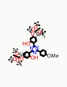 COc1ccc(-c2nc(-c3ccc(OC([SiH3])(O[Si](C)(C)C)C(C)(O[Si](C)(C)C)O[Si](C)(C)C)cc3O)nc(-c3ccc(OC([SiH3])(O[Si](C)(C)C)C(C)(O[Si](C)(C)C)O[Si](C)(C)C)cc3O)n2)cc1